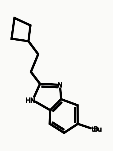 CC(C)(C)c1ccc2[nH]c(CCC3CCC3)nc2c1